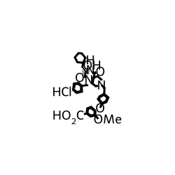 COc1cc(C(=O)O)ccc1Oc1ccc(CN2CCC3(CC2)C(=O)N[C@H](CC2(O)CCCCC2)C(=O)N3Cc2ccccc2)cc1.Cl